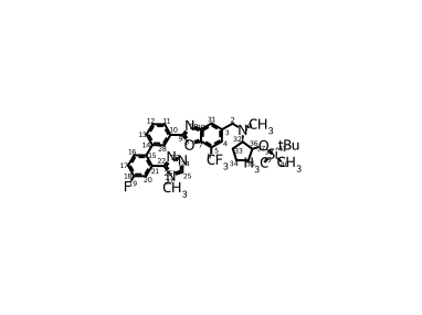 CN(Cc1cc(C(F)(F)F)c2oc(-c3cccc(-c4ccc(F)cc4-c4nncn4C)c3)nc2c1)[C@@H]1CCCC1O[Si](C)(C)C(C)(C)C